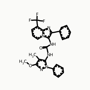 COc1nn(-c2ccccc2)c(NC(=O)Nc2c(-c3ccccc3)nc3c(C(F)(F)F)cccn23)c1C